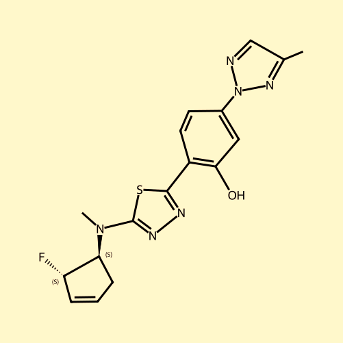 Cc1cnn(-c2ccc(-c3nnc(N(C)[C@H]4CC=C[C@@H]4F)s3)c(O)c2)n1